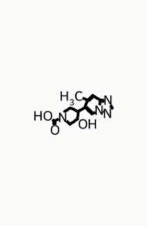 Cc1cc2ncnn2cc1C1CCN(C(=O)O)CC1O